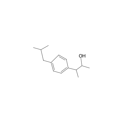 CC(C)Cc1ccc(C(C)C(C)O)cc1